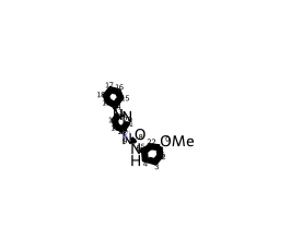 COc1cccc(NC(=O)/N=c2/ccn(-c3ccccc3)nc2)c1